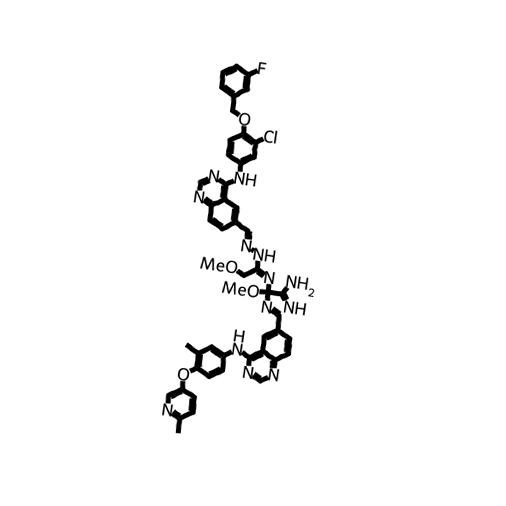 COCC(=NC(N=Cc1ccc2ncnc(Nc3ccc(Oc4ccc(C)nc4)c(C)c3)c2c1)(OC)C(=N)N)NN=Cc1ccc2ncnc(Nc3ccc(OCc4cccc(F)c4)c(Cl)c3)c2c1